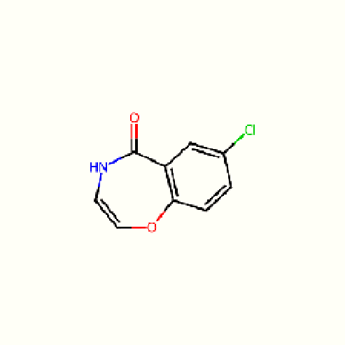 O=C1NC=COc2ccc(Cl)cc21